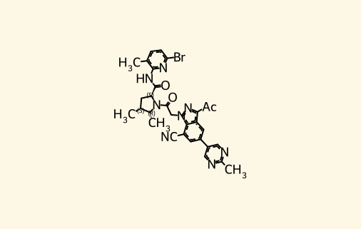 CC(=O)c1nn(CC(=O)N2[C@H](C)[C@@H](C)C[C@H]2C(=O)Nc2nc(Br)ccc2C)c2c(C#N)cc(-c3cnc(C)nc3)cc12